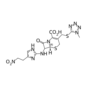 Cn1nnnc1SCC1=C(C(=O)O)N2C(=O)C(Nc3nc(CC[N+](=O)[O-])c[nH]3)[C@H]2SC1